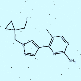 Cc1cnc(N)nc1-c1cnn(CC2(CF)CC2)c1